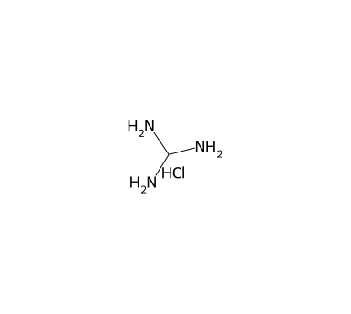 Cl.NC(N)N